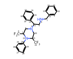 FC(F)(F)C1CN(C(CNCc2ccccc2)c2ccccc2)CC(C(F)(F)F)N1c1ccccc1